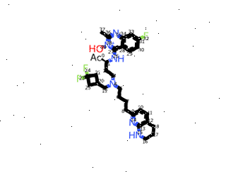 CC(=O)[C@H](CCN(CCCCc1ccc2c(n1)NCCC2)CC1CC(F)(F)C1)Nc1c2ccc(F)cc2nc(C)[n+]1O